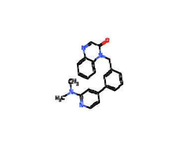 CN(C)c1cc(-c2cccc(Cn3c(=O)cnc4ccccc43)c2)ccn1